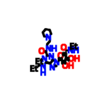 CCNC(=O)[C@H]1O[C@@H](n2cnc3c(NC(CC)CC)nc(C(=O)NCCN4CCCCC4)nc32)[C@H](O)[C@@H]1O